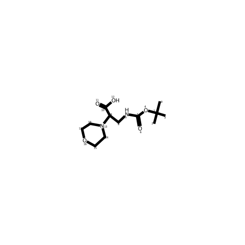 CC(C)(C)OC(=O)NCC(C(=O)O)N1CCOCC1